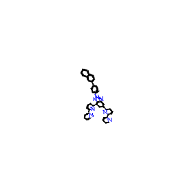 c1ccc(-c2cccc(-c3cc(-c4cccc(-c5ccccn5)n4)c4nn(-c5ccc(-c6ccc7ccccc7c6)cc5)nc4c3)n2)nc1